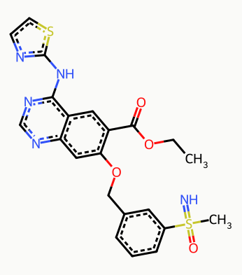 CCOC(=O)c1cc2c(Nc3nccs3)ncnc2cc1OCc1cccc(S(C)(=N)=O)c1